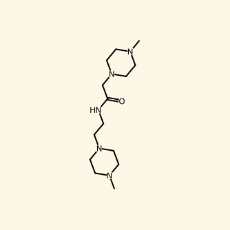 CN1CCN(CCNC(=O)CN2CCN(C)CC2)CC1